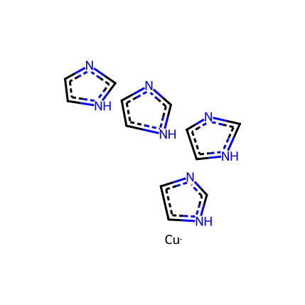 [Cu].c1c[nH]cn1.c1c[nH]cn1.c1c[nH]cn1.c1c[nH]cn1